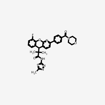 Cc1nnc(NC(=O)C(C)(C)C2c3ccc(-c4ccc(C(=O)N5CCOCC5)cc4)nc3Oc3c(F)cccc32)s1